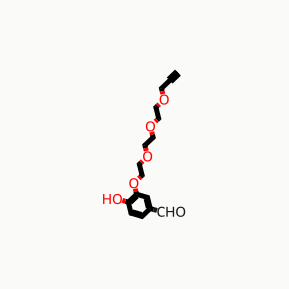 C#CCOCCOCCOCCOc1cc(C=O)ccc1O